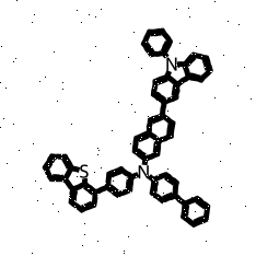 c1ccc(-c2ccc(N(c3ccc(-c4cccc5c4sc4ccccc45)cc3)c3ccc4cc(-c5ccc6c(c5)c5ccccc5n6-c5ccccc5)ccc4c3)cc2)cc1